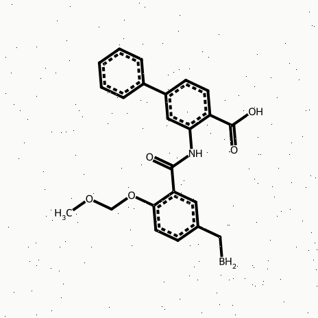 BCc1ccc(OCOC)c(C(=O)Nc2cc(-c3ccccc3)ccc2C(=O)O)c1